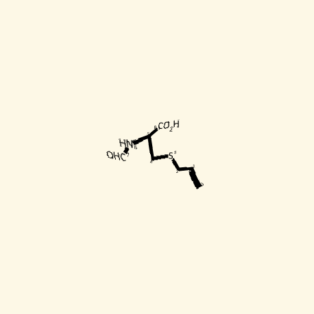 C=CCSCC(NC=O)C(=O)O